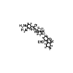 CCOc1cc(CN2CC[C@H]3C(NC(=O)c4ccc(N)c(N)c4)CC[C@H]32)cc(OCC)c1-c1ccc(F)cc1